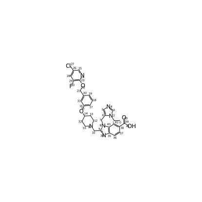 CCn1cncc1Cn1c(CN2CCC(Oc3cccc(COc4ncc(Cl)cc4F)c3)CC2)nc2ccc(C(=O)O)cc21